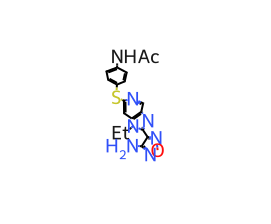 CCn1c(-c2nonc2N)nc2cnc(Sc3ccc(NC(C)=O)cc3)cc21